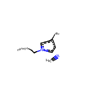 C#N.CCCCCCCCn1ccc(CCCC)c1